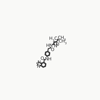 CC(C)(C)c1cc(NC(=O)Cc2ccc(NC(=O)c3cccc4nsnc34)cc2)no1